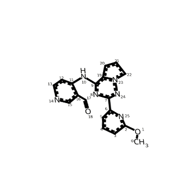 COc1cccc(-c2nc(Nc3ccncc3C=O)c3cccn3n2)n1